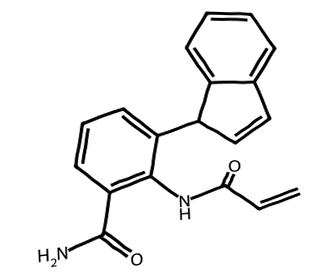 C=CC(=O)Nc1c(C(N)=O)cccc1C1C=Cc2ccccc21